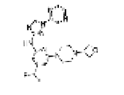 FC(F)c1cc(Nc2ncn(-c3cnccn3)n2)nc(N2CCN(C3COC3)CC2)c1